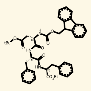 CCOC(=O)[C@H](Cc1ccccc1)NC(=O)[C@H](Cc1ccccc1)NC(=O)[C@H](CC(=O)OC(C)(C)C)NC(=O)OCC1c2ccccc2-c2ccccc21